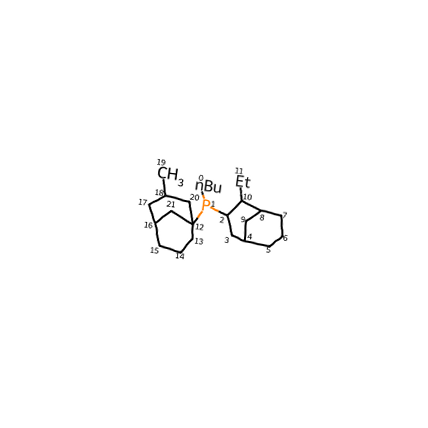 CCCCP(C1CC2CCCC(C2)C1CC)C12CCCC(CC(C)C1)C2